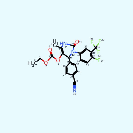 CCOC(=O)OC1=C(C)NC(=O)N(c2ccc(F)c(C(F)(F)F)c2)C1c1ccc(C#N)cc1